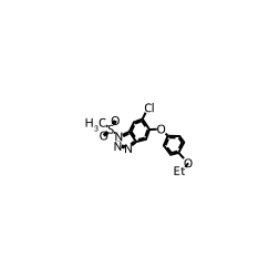 CCOc1ccc(Oc2cc3nnn(S(C)(=O)=O)c3cc2Cl)cc1